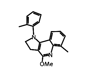 COc1nc2c(C)cccc2c2c1CCN2c1ccccc1C